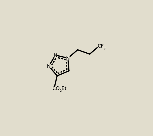 CCOC(=O)c1cn(CCC(F)(F)F)nn1